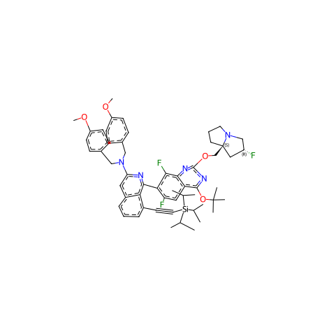 COc1ccc(CN(Cc2ccc(OC)cc2)c2cc3cccc(C#C[Si](C(C)C)(C(C)C)C(C)C)c3c(-c3c(F)cc4c(OC(C)(C)C)nc(OC[C@@]56CCCN5C[C@H](F)C6)nc4c3F)n2)cc1